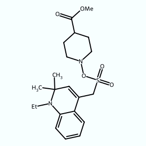 CCN1c2ccccc2C(CS(=O)(=O)ON2CCC(C(=O)OC)CC2)=CC1(C)C